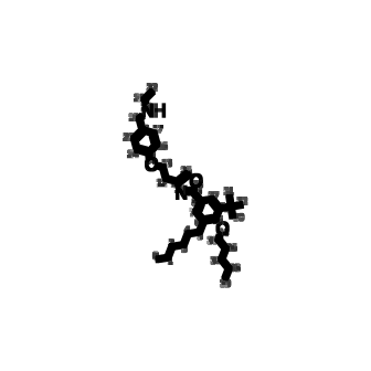 CCCCCCc1cc(-c2nc(CCOc3ccc(CNCC)cc3)co2)cc(C(C)(C)C)c1OCCCCC